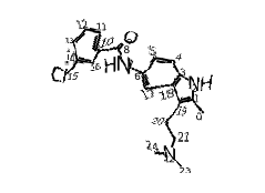 Cc1[nH]c2ccc(NC(=O)c3cccc(Cl)c3)cc2c1CCN(C)C